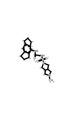 CN1CC2CN(S(=O)(=O)NC(=O)Nc3c4c(cc5c3CCC5)CCC4)CC2C1